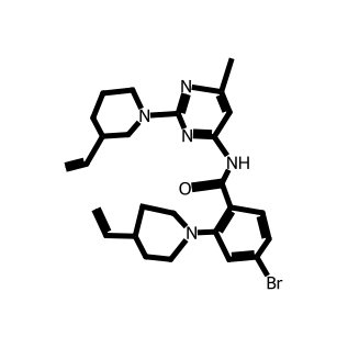 C=CC1CCN(c2cc(Br)ccc2C(=O)Nc2cc(C)nc(N3CCCC(C=C)C3)n2)CC1